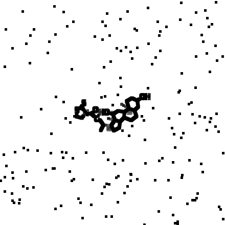 CC(CCC(=O)N1CCSC1=S)[C@H]1CCC2C3CCC4CC(O)CC[C@]4(C)C3C[C@H](O)[C@@]21C